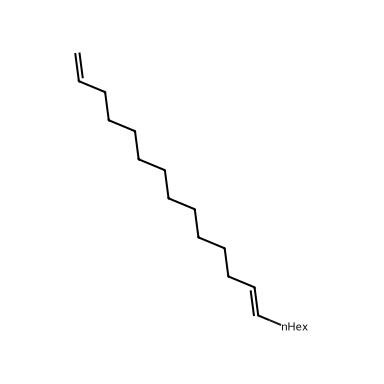 C=CCCCCCCCCCCC=CCCCCCC